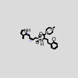 C=c1cc[nH]/c1=C/C=C\CS(=O)(=O)NC(CCc1ccccc1Cl)C(=O)N1CCN(C)CC1